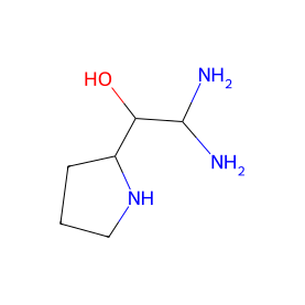 NC(N)C(O)C1CCCN1